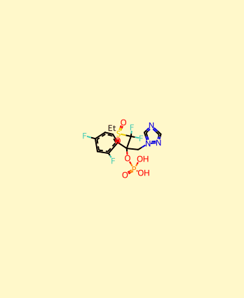 CCS(=O)(=O)C(F)(F)C(Cn1cncn1)(OP(=O)(O)O)c1ccc(F)cc1F